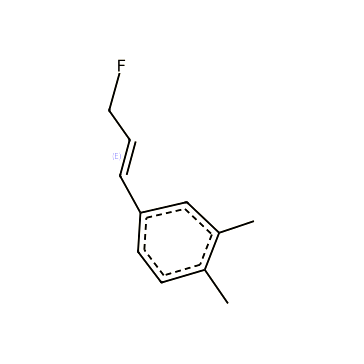 Cc1ccc(/C=C/CF)cc1C